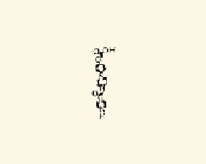 O=C(O)COc1ccc(N2CCN(CC(=O)N3CCNCC3)CC2)cc1